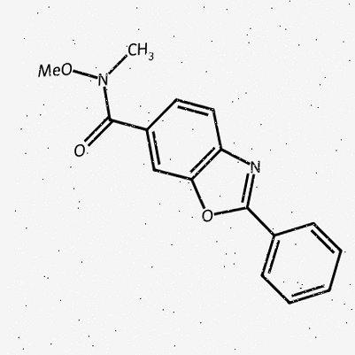 CON(C)C(=O)c1ccc2nc(-c3ccccc3)oc2c1